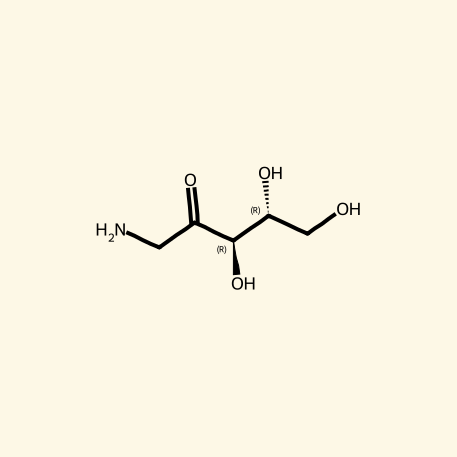 NCC(=O)[C@H](O)[C@H](O)CO